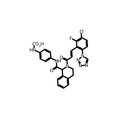 O=C(O)Nc1ccc(NC(=O)C2c3ccccc3CCN2C(=O)C=Cc2c(-n3cnnn3)ccc(Cl)c2F)cc1